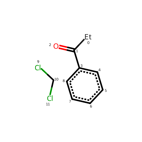 CCC(=O)c1ccccc1.ClCCl